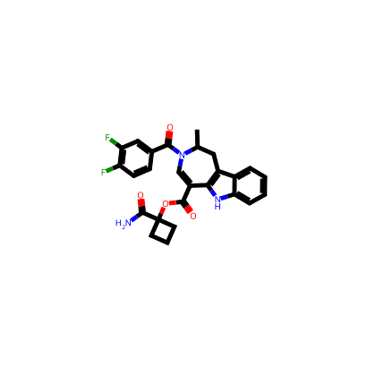 CC1Cc2c([nH]c3ccccc23)C(C(=O)OC2(C(N)=O)CCC2)=CN1C(=O)c1ccc(F)c(F)c1